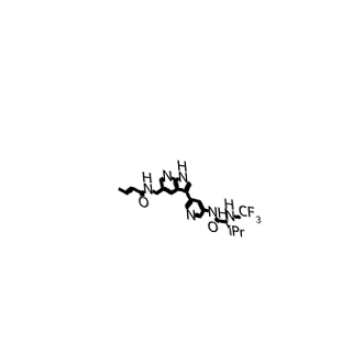 C/C=C/C(=O)NCc1cnc2[nH]cc(-c3cncc(NC(=O)[C@@H](NCC(F)(F)F)C(C)C)c3)c2c1